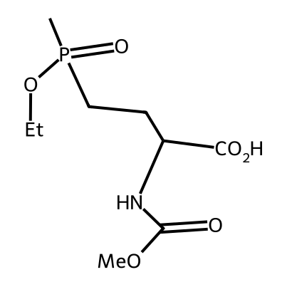 CCOP(C)(=O)CCC(NC(=O)OC)C(=O)O